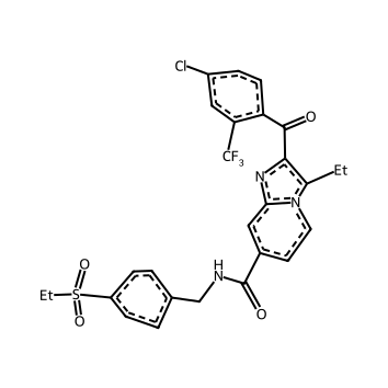 CCc1c(C(=O)c2ccc(Cl)cc2C(F)(F)F)nc2cc(C(=O)NCc3ccc(S(=O)(=O)CC)cc3)ccn12